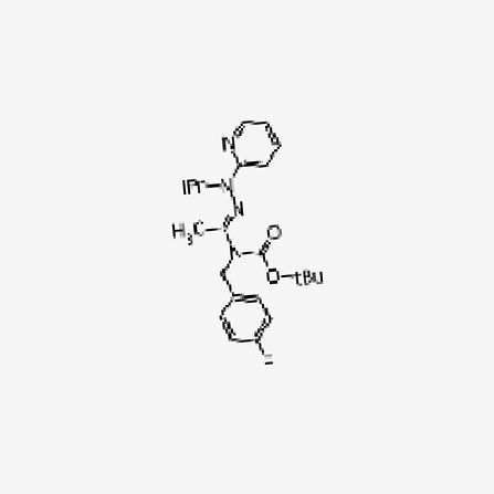 C/C(=N\N(c1ccccn1)C(C)C)N(Cc1ccc(F)cc1)C(=O)OC(C)(C)C